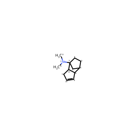 CN(C)C12CCC(C1)C1C=CCC12